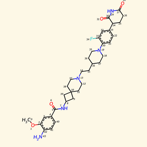 COc1cc(C(=O)NC2CC3(CCN(CCC4CCN(c5ccc(C6CCC(=O)NC6=O)cc5F)CC4)CC3)C2)ccc1N